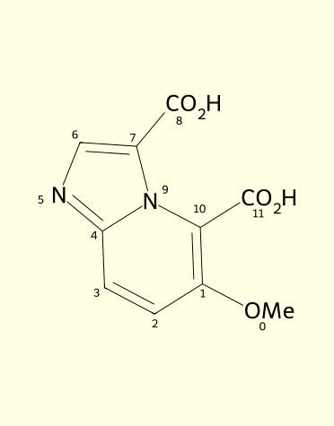 COc1ccc2ncc(C(=O)O)n2c1C(=O)O